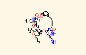 CC[C@@H]1[C@@H]2CN(C(=O)[C@H](C(C)(C)C)NC(=O)O[C@@H]3CCC[C@H]3CCCCCN3C(=O)N/C(=C\C=N)N=C3O2)[C@@H]1C(C)=O